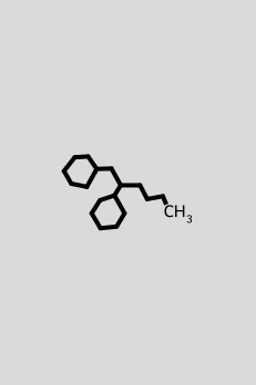 CCCCC(C[C]1CCCCC1)C1CCCCC1